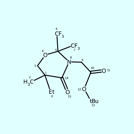 CCC1(C)COC(C(F)(F)F)(C(F)(F)F)N(CC(=O)OC(C)(C)C)C1=O